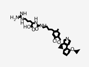 Cc1cc(COC2(c3cnccc3-c3ccccc3OC3CC3)CC2)c(Cl)cc1CCCCNC(=O)NC(CCCNC(=N)N)C(=O)O